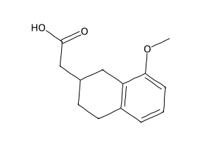 COc1cccc2c1CC(CC(=O)O)CC2